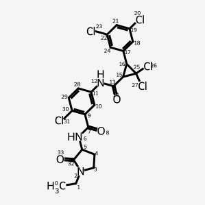 CCN1CCC(NC(=O)c2cc(NC(=O)C3C(c4cc(Cl)cc(Cl)c4)C3(Cl)Cl)ccc2Cl)C1=O